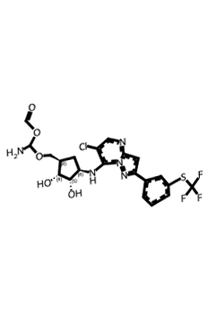 NC(OC=O)OC[C@H]1C[C@@H](Nc2c(Cl)cnc3cc(-c4cccc(SC(F)(F)F)c4)nn23)[C@H](O)[C@@H]1O